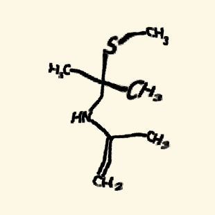 C=C(C)NC(C)(C)SC